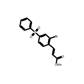 COC(=O)C=Cc1ccc(S(=O)(=O)c2ccccc2)cc1Br